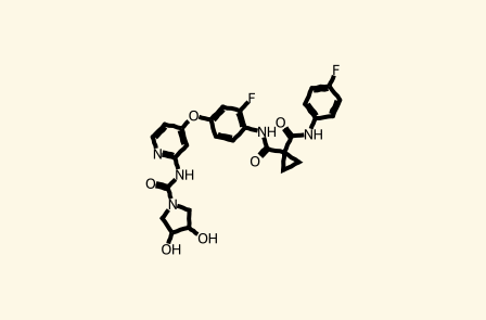 O=C(Nc1cc(Oc2ccc(NC(=O)C3(C(=O)Nc4ccc(F)cc4)CC3)c(F)c2)ccn1)N1CC(O)C(O)C1